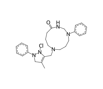 CC1=C(CN2CCCC(=O)NCN(c3ccccc3)CCC2)N(Cl)N(c2ccccc2)C1